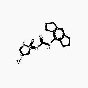 C[C@@H]1CNS(=O)(=NC(=O)Nc2c3c(cc4c2CCC4)CCC3)C1